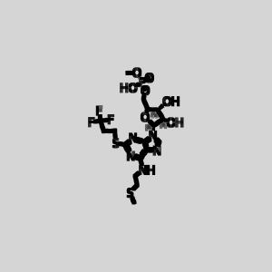 COP(=O)(O)OCC1O[C@@H](n2cnc3c(NCCSC)nc(SCCC(F)(F)F)nc32)[C@H](O)[C@@H]1O